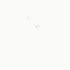 CC(C)C(=O)NS(=O)(=O)c1cccs1